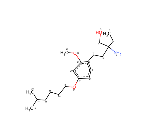 CCC(N)(CO)CCc1ccc(OCCCCC(C)C)cc1OC